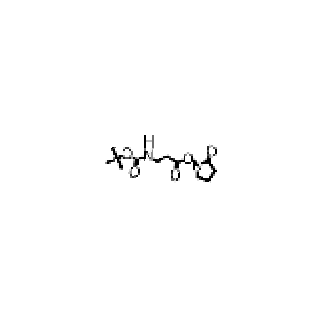 CC(C)(C)OC(=O)NCCC(=O)ON1CCCC1=O